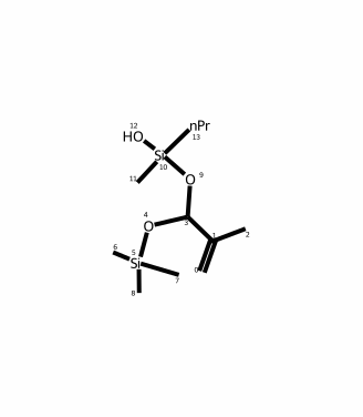 C=C(C)C(O[Si](C)(C)C)O[Si](C)(O)CCC